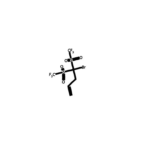 C=CCC(Br)(S(=O)(=O)C(F)(F)F)S(=O)(=O)C(F)(F)F